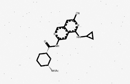 CC(=O)N[C@@H]1CCC[C@H](C(=O)Nc2cc3c(NC4CC4)nc(C#N)cc3cn2)C1